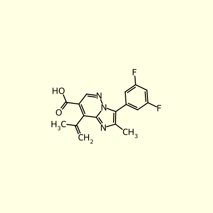 C=C(C)c1c(C(=O)O)cnn2c(-c3cc(F)cc(F)c3)c(C)nc12